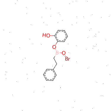 Oc1ccccc1OB(CCc1ccccc1)OBr